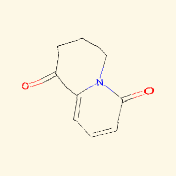 O=C1CCCn2c1cccc2=O